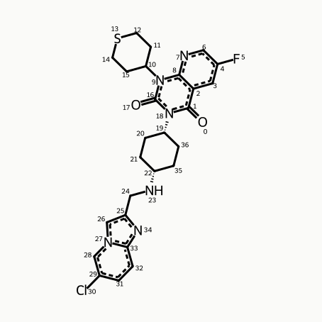 O=c1c2cc(F)cnc2n(C2CCSCC2)c(=O)n1[C@H]1CC[C@@H](NCc2cn3cc(Cl)ccc3n2)CC1